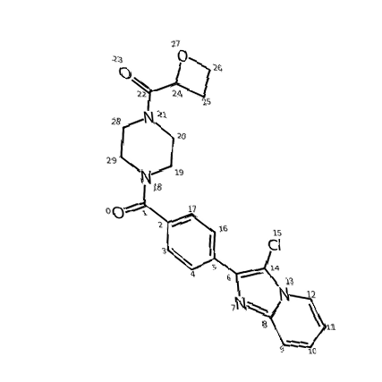 O=C(c1ccc(-c2nc3ccccn3c2Cl)cc1)N1CCN(C(=O)C2CCO2)CC1